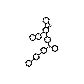 c1ccc(-c2ccc(-c3ccc(N(c4ccccc4)c4ccc(-c5cc6oc7ccccc7c6cc5-c5ccc6ccccc6c5)cc4)cc3)cc2)cc1